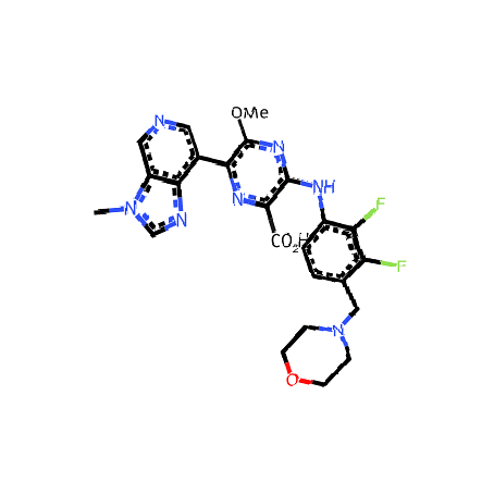 COc1nc(Nc2ccc(CN3CCOCC3)c(F)c2F)c(C(=O)O)nc1-c1cncc2c1ncn2C